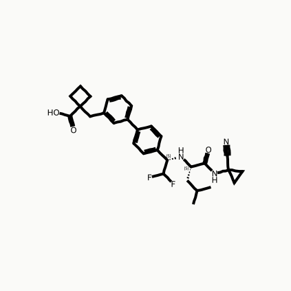 CC(C)C[C@H](N[C@@H](c1ccc(-c2cccc(CC3(C(=O)O)CCC3)c2)cc1)C(F)F)C(=O)NC1(C#N)CC1